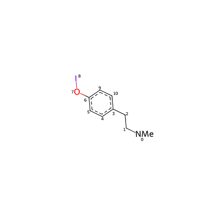 CNCCc1ccc(OI)cc1